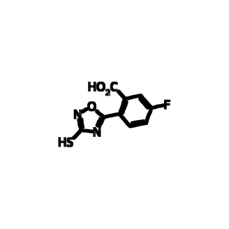 O=C(O)c1cc(F)ccc1-c1nc(S)no1